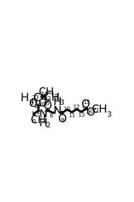 C=C[C@@H](NC(=O)CNC(=O)CCCCC(=O)OC)C(=O)OC(C)(C)C